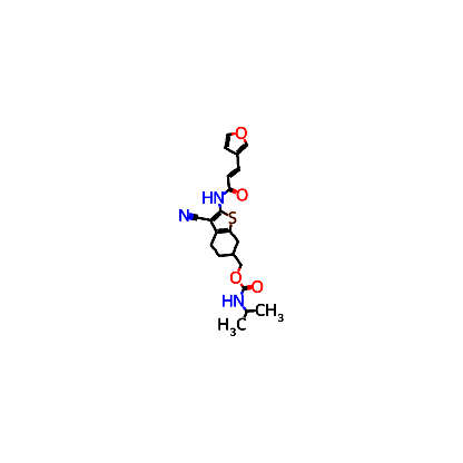 CC(C)NC(=O)OCC1CCc2c(sc(NC(=O)C=Cc3ccoc3)c2C#N)C1